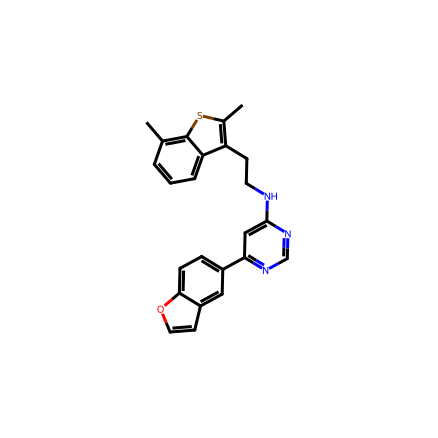 Cc1sc2c(C)cccc2c1CCNc1cc(-c2ccc3occc3c2)ncn1